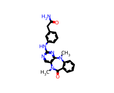 CN1C(=O)c2ccccc2N(C)c2nc(Nc3cccc(CC(N)=O)c3)ncc21